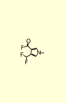 Cn1cc(C(=O)F)c(C(F)F)c1